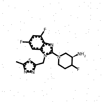 Cc1nnc(Cn2c(N3CCC(F)[C@H](N)C3)nc3c(F)cc(F)cc32)s1